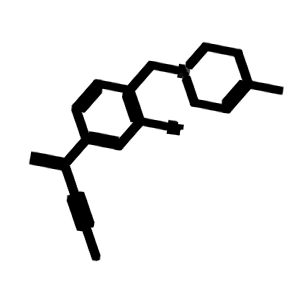 C=C(C#CC)c1ccc(CN2CC=C(C)CC2)c(Br)c1